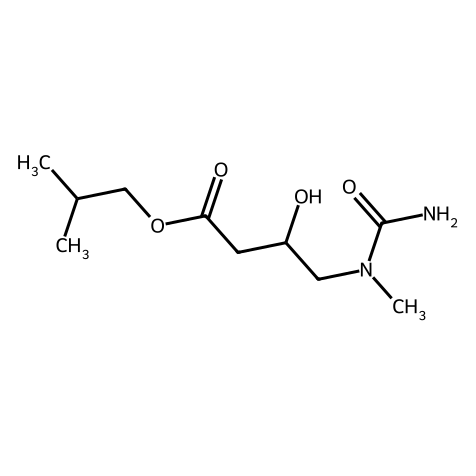 CC(C)COC(=O)CC(O)CN(C)C(N)=O